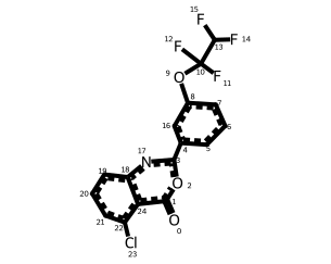 O=c1oc(-c2cccc(OC(F)(F)C(F)F)c2)nc2cccc(Cl)c12